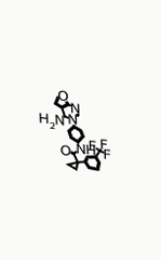 NC1c2ccoc2N=CN1c1ccc(NC(=O)C2(c3cccc(C(F)(F)F)c3)CC2)cc1